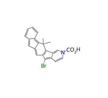 CC1(C)C2=c3ccccc3=CC2=Cc2c(Br)c3ccn(C(=O)O)cc-3c21